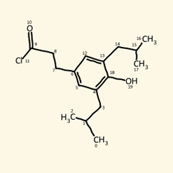 CC(C)Cc1cc(CCC(=O)Cl)cc(CC(C)C)c1O